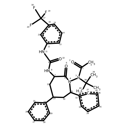 CC(=O)N(N1C(=O)C(NC(=O)Nc2cccc(C(F)(F)F)c2)CC(c2ccccc2)CC1c1ccccc1)C(C)(C)C